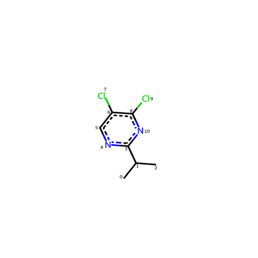 CC(C)c1ncc(Cl)c(Cl)n1